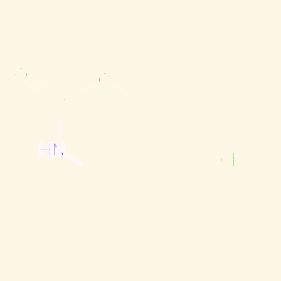 O=C1Nc2cccc(Cl)c2C(C2CCCC2)O1